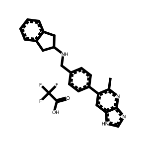 Cc1nc2nc[nH]c2cc1-c1ccc(CNC2Cc3ccccc3C2)cc1.O=C(O)C(F)(F)F